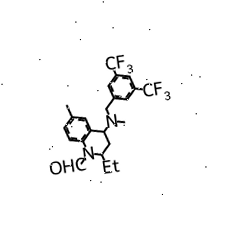 CCC1CC(N(C)Cc2cc(C(F)(F)F)cc(C(F)(F)F)c2)c2cc(C)ccc2N1C=O